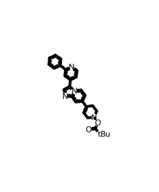 CC(C)(C)C(=O)ON1CC=C(c2ccn3c(-c4ccnc(-c5ccccc5)c4)cnc3c2)CC1